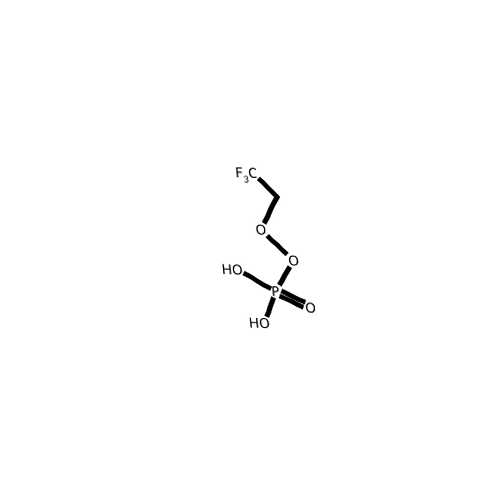 O=P(O)(O)OOCC(F)(F)F